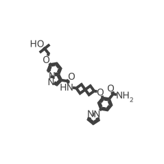 CC(C)(O)COc1ccc2c(C(=O)NC3CC4(C3)CC(Oc3cc(-n5cccn5)ccc3C(N)=O)C4)cnn2c1